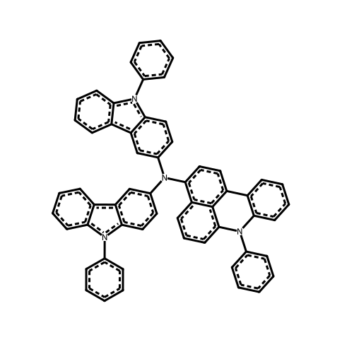 c1ccc(N2c3ccccc3-c3ccc(N(c4ccc5c(c4)c4ccccc4n5-c4ccccc4)c4ccc5c(c4)c4ccccc4n5-c4ccccc4)c4cccc2c34)cc1